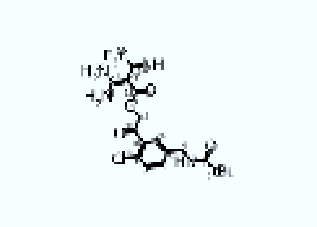 CC(C)(C)C(=O)NCc1ccc(Cl)c(C(=O)COC(=O)C(C(=N)C(F)(F)F)=C(N)N)c1